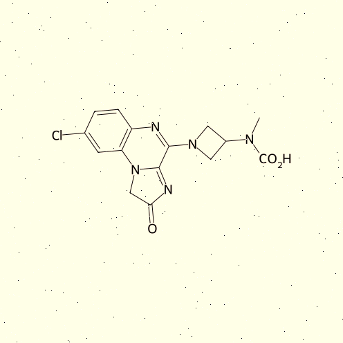 CN(C(=O)O)C1CN(C2=Nc3ccc(Cl)cc3N3CC(=O)N=C23)C1